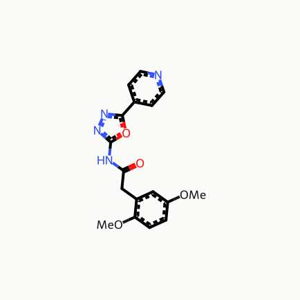 COc1ccc(OC)c(CC(=O)Nc2nnc(-c3ccncc3)o2)c1